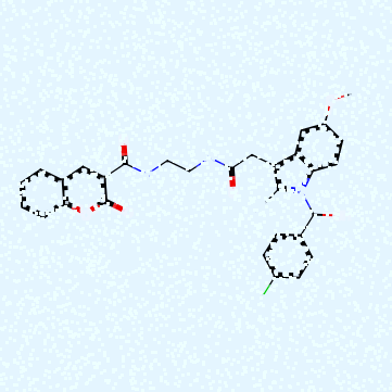 COc1ccc2c(c1)c(CC(=O)NCCNC(=O)c1cc3ccccc3oc1=O)c(C)n2C(O)c1ccc(Cl)cc1